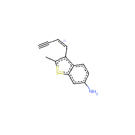 C#C/C=C\c1c(C)sc2cc(N)ccc12